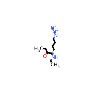 CCN[C@@H](CCCCN=[N+]=[N-])C(=O)CC